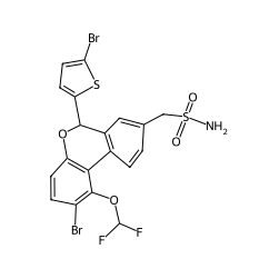 NS(=O)(=O)Cc1ccc2c(c1)C(c1ccc(Br)s1)Oc1ccc(Br)c(OC(F)F)c1-2